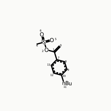 C=C(OS(C)(=O)=O)c1ccc(CCCC)cc1